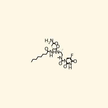 CCCCCCCC(=O)N[C@H](CC(N)=O)C(=O)N[C@H](C)CN(C)C(=O)n1cc(F)c(=O)[nH]c1=O